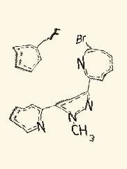 Cn1nc(-c2cccc(Br)n2)cc1-c1ccccn1.Fc1ccccc1